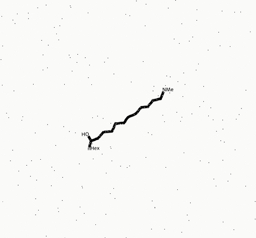 CCCCCCC(O)CCCCCCCCCCCNC